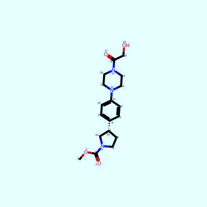 COC(=O)N1CC[C@@H](c2ccc(N3CCN(C(=O)CO)CC3)cc2)C1